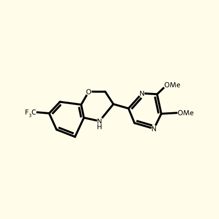 COc1ncc(C2COc3cc(C(F)(F)F)ccc3N2)nc1OC